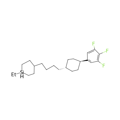 CC[SiH]1CCC(CCCC[C@H]2CC[C@H](c3cc(F)c(F)c(F)c3)CC2)CC1